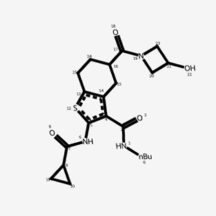 CCCCNC(=O)c1c(NC(=O)C2CC2)sc2c1CC(C(=O)N1CC(O)C1)CC2